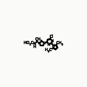 Cc1ccc(C)n1-c1nc(Cl)cc(N2CC[C@@H](C(C)NC(=O)O)C2)n1